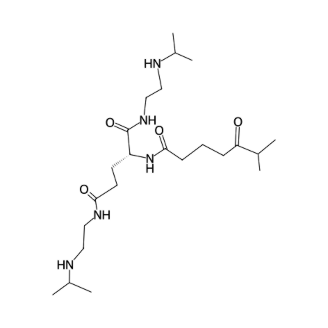 CC(C)NCCNC(=O)CC[C@@H](NC(=O)CCCC(=O)C(C)C)C(=O)NCCNC(C)C